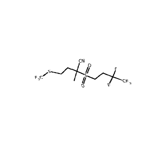 CC(C#N)(CCSC(F)(F)F)S(=O)(=O)CCC(F)(F)C(F)(F)F